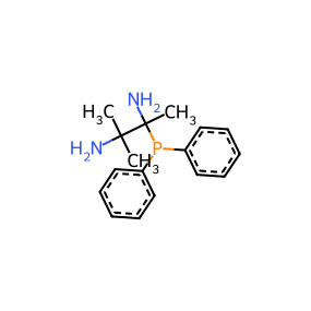 CC(C)(N)C(C)(N)P(c1ccccc1)c1ccccc1